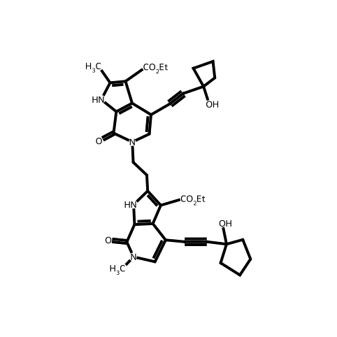 CCOC(=O)c1c(CCn2cc(C#CC3(O)CCC3)c3c(C(=O)OCC)c(C)[nH]c3c2=O)[nH]c2c(=O)n(C)cc(C#CC3(O)CCCC3)c12